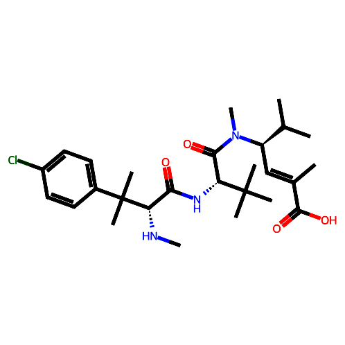 CN[C@@H](C(=O)N[C@H](C(=O)N(C)[C@H](/C=C(\C)C(=O)O)C(C)C)C(C)(C)C)C(C)(C)c1ccc(Cl)cc1